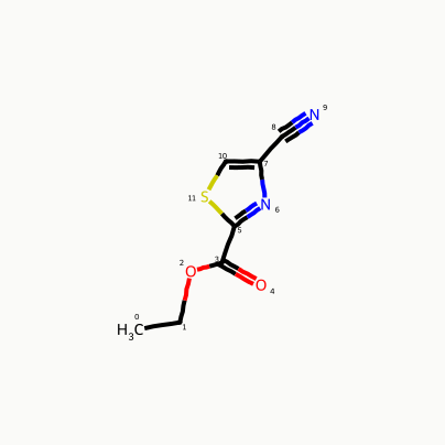 CCOC(=O)c1nc(C#N)cs1